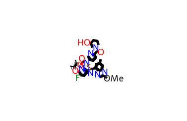 COc1cnc2c(-c3nc4cc(F)c(O[C@@H](C)[C@@H](C)OC(=O)Nc5ccc(C(=O)N6CCCC(O)C6)nc5)nc4s3)cc(C)cc2n1